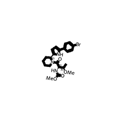 COC(=O)N[C@H](C(=O)N1CCCC[C@H]1c1ccc(-c2ccc(Br)cc2)[nH]1)[C@@H](C)OC